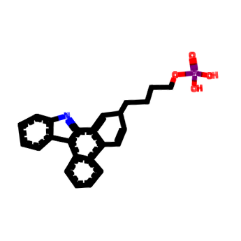 O=P(O)(O)OCCCCC1C=Cc2c(c3c(c4ccccc24)-c2ccccc2N=3)=C1